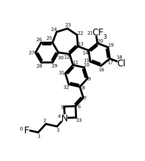 FCCCN1CC(=Cc2ccc(C3=C(c4ccc(Cl)cc4C(F)(F)F)CCCc4ccccc43)cc2)C1